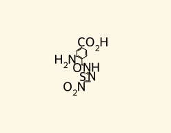 Nc1cc(C(=O)O)ccc1C(=O)Nc1ncc([N+](=O)[O-])s1